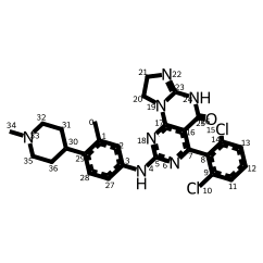 Cc1cc(Nc2nc(-c3c(Cl)cccc3Cl)c3c(n2)N2CCN=C2NC3=O)ccc1C1CCN(C)CC1